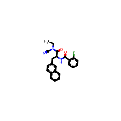 CCN(C#N)C(=O)C(Cc1ccc2ccccc2c1)NC(=O)c1ccccc1F